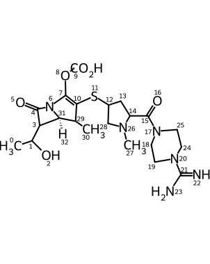 CC(O)C1C(=O)N2C(OC(=O)O)=C(SC3CC(C(=O)N4CCN(C(=N)N)CC4)N(C)C3)C(C)[C@@H]12